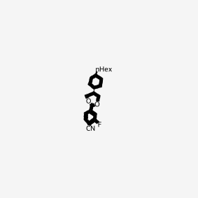 CCCCCC[C@H]1CC[C@H](C2COC(c3ccc(C#N)c(F)c3)OC2)CC1